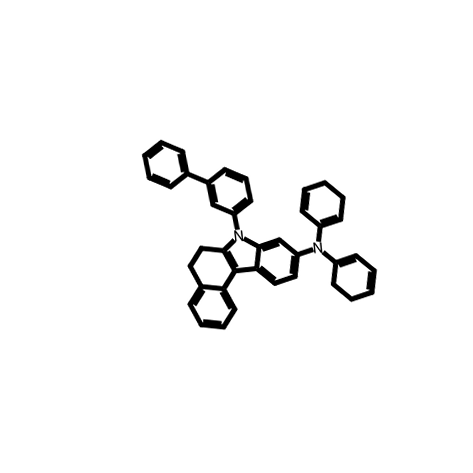 C1=CCCC(N(C2=CCCC=C2)c2ccc3c4c(n(-c5cccc(-c6ccccc6)c5)c3c2)CCc2ccccc2-4)=C1